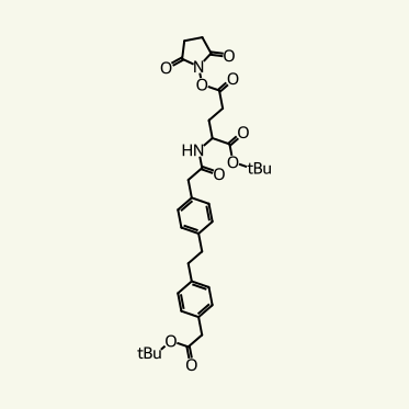 CC(C)(C)OC(=O)Cc1ccc(CCc2ccc(CC(=O)NC(CCC(=O)ON3C(=O)CCC3=O)C(=O)OC(C)(C)C)cc2)cc1